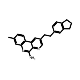 Cc1ccc2c(c1)nc(N)c1ncc(CCc3ccc4c(c3)CCC4)cc12